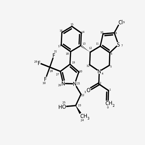 C=CC(=O)N1Cc2sc(Cl)cc2[C@@H](c2ccccc2-c2cn(C[C@@H](C)O)nc2C(F)(F)F)C1